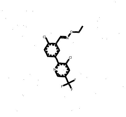 CCON=Cc1cc(-c2ncc(C(F)(F)F)cc2Cl)ccc1Cl